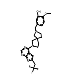 COc1ccc(CN2CCC3(CCN(c4ncnc5sc(CC(F)(F)F)cc45)C3)C2)cc1O